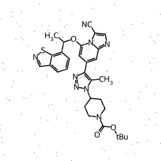 Cc1c(-c2cc(OC(C)c3cccc4cnsc34)n3c(C#N)cnc3c2)nnn1C1CCN(C(=O)OC(C)(C)C)CC1